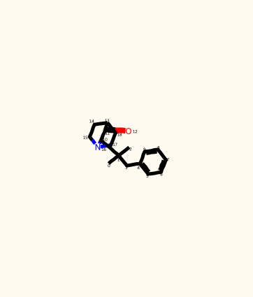 CC(C)(Cc1ccccc1)C1C(=O)C2CCN1CC2